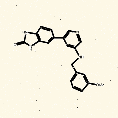 COc1cccc(CNc2cncc(-c3ccc4[nH]c(=O)[nH]c4c3)c2)c1